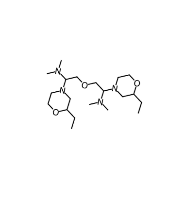 CCC1CN(C(COCC(N(C)C)N2CCOC(CC)C2)N(C)C)CCO1